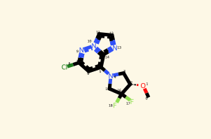 CO[C@H]1CN(c2cc(Cl)nn3ccnc23)CC1(F)F